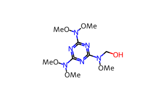 CON(CO)c1nc(N(OC)OC)nc(N(OC)OC)n1